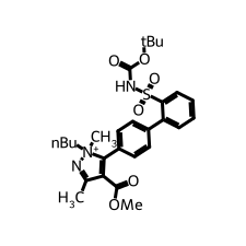 CCCC[N+]1(C)N=C(C)C(C(=O)OC)=C1c1ccc(-c2ccccc2S(=O)(=O)NC(=O)OC(C)(C)C)cc1